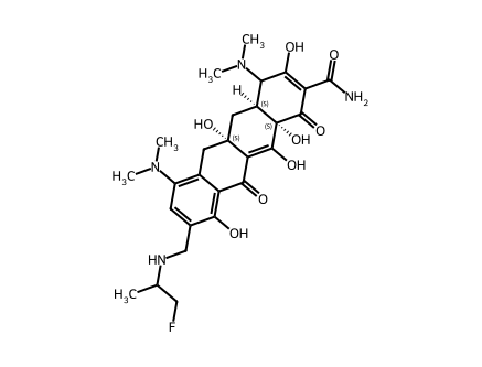 CC(CF)NCc1cc(N(C)C)c2c(c1O)C(=O)C1=C(O)[C@]3(O)C(=O)C(C(N)=O)=C(O)C(N(C)C)[C@@H]3C[C@]1(O)C2